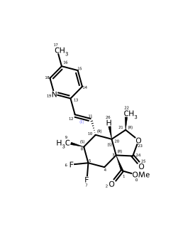 COC(=O)[C@@]12CC(F)(F)[C@@H](C)[C@H](/C=C/c3ccc(C)cn3)[C@@H]1[C@@H](C)OC2=O